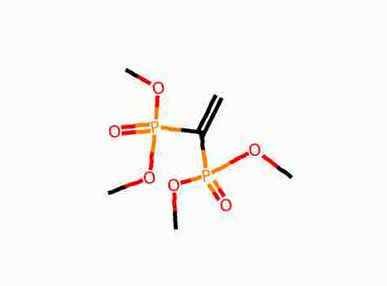 C=C(P(=O)(OC)OC)P(=O)(OC)OC